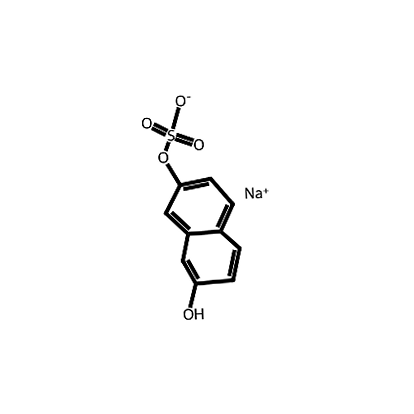 O=S(=O)([O-])Oc1ccc2ccc(O)cc2c1.[Na+]